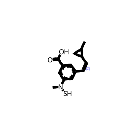 CC1CC1/C=C\c1cc(C(=O)O)cc(N(C)S)c1